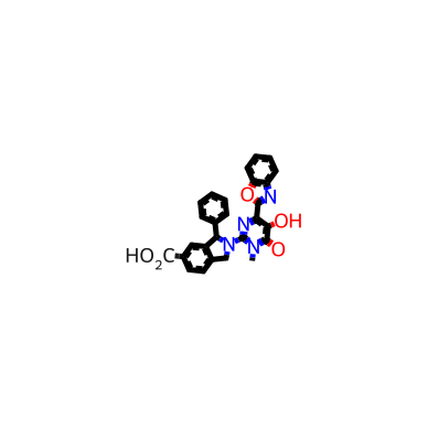 Cn1c(N2Cc3ccc(C(=O)O)cc3C2c2ccccc2)nc(-c2nc3ccccc3o2)c(O)c1=O